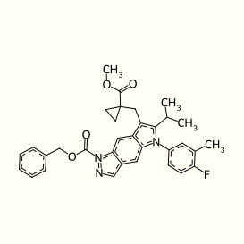 COC(=O)C1(Cc2c(C(C)C)n(-c3ccc(F)c(C)c3)c3cc4cnn(C(=O)OCc5ccccc5)c4cc23)CC1